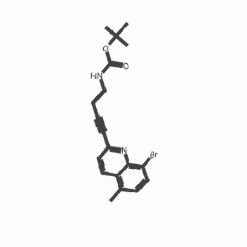 Cc1ccc(Br)c2nc(C#CCCNC(=O)OC(C)(C)C)ccc12